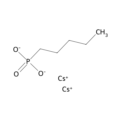 CCCCCP(=O)([O-])[O-].[Cs+].[Cs+]